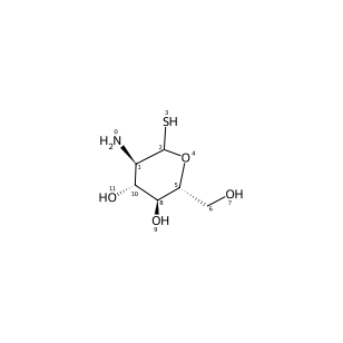 N[C@H]1C(S)O[C@H](CO)[C@@H](O)[C@@H]1O